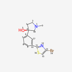 CN1CC[C@@](O)(c2cccc(-c3nc(Br)cs3)c2)C1